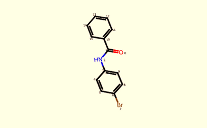 O=C(Nc1ccc(Br)cc1)c1ccccc1